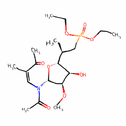 CCOP(=O)(C[C@H](C)[C@H]1O[C@@H](N(/C=C(/C)C(C)=O)C(C)=O)[C@H](OC)[C@@H]1O)OCC